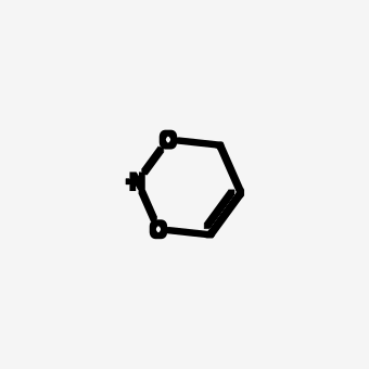 C1=CO[N]OC1